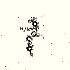 COCCn1c(CN2CCN(c3cccc(OCc4ccc(C#N)cc4F)n3)C[C@@H]2C)nc2ccc(C(=O)O)cc21